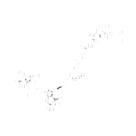 [N-]=[N+]=NC(COCCOCCOC(=O)NCC(=O)NC(CC(=O)O)C(=O)NC(CC(=O)O)C(=O)O)OCC#Cc1cn(C2CC(O)C(COP(=O)(O)OP(=O)(O)OP(=O)(O)O)O2)c2nc(N)[nH]c(=O)c12